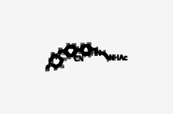 CC(=O)NCCNCc1ccc(-c2ccc(CN3CCCN(C)CC3)cc2C#N)cc1